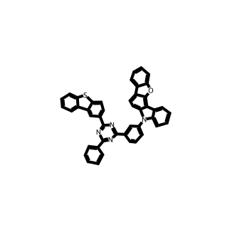 c1ccc(-c2nc(-c3cccc(-n4c5ccccc5c5c6oc7ccccc7c6ccc54)c3)nc(-c3ccc4sc5ccccc5c4c3)n2)cc1